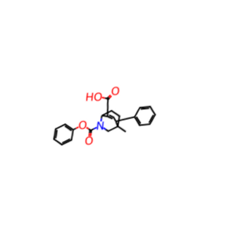 CC12CCC(C(C(=O)O)=CC1c1ccccc1)N(C(=O)Oc1ccccc1)C2